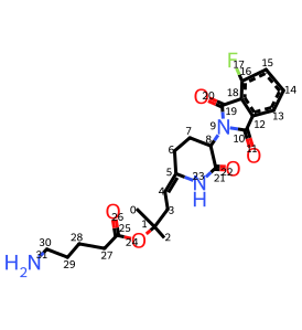 CC(C)(C/C=C1/CCC(N2C(=O)c3cccc(F)c3C2=O)C(=O)N1)OC(=O)CCCCN